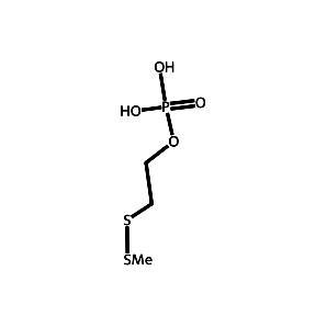 CSSCCOP(=O)(O)O